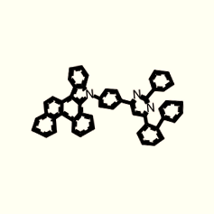 c1ccc(-c2nc(-c3ccc(-n4c5ccccc5c5c6ccc7ccccc7c6c6ccccc6c54)cc3)cc(-c3ccccc3-c3ccccc3)n2)cc1